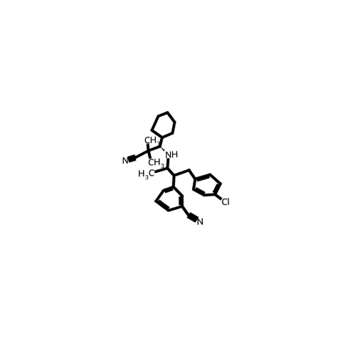 CC(N[C@@H](C1CCCCC1)C(C)(C)C#N)C(Cc1ccc(Cl)cc1)c1cccc(C#N)c1